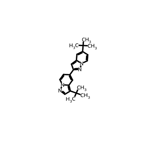 CC(C)(C)c1ccn2nc(-c3ccn4ncc(C(C)(C)C)c4c3)cc2c1